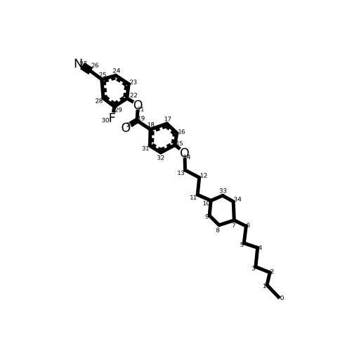 CCCCCCCC1CCC(CCCOc2ccc(C(=O)Oc3ccc(C#N)cc3F)cc2)CC1